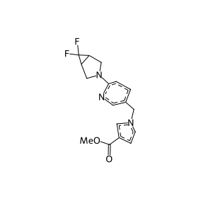 COC(=O)c1ccn(Cc2ccc(N3CC4C(C3)C4(F)F)nc2)c1